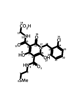 CSCCNC(=O)c1c(O)c(C(=O)NCC(=O)O)c(=O)n(Cc2ccccc2Cl)c1O